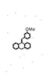 COc1cccc(C=C2c3ccccc3Cc3ccccc32)c1